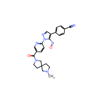 CN1CCC2(CCN(C(=O)c3ccc(-n4ncc(-c5ccc(C#N)cc5)c4N=O)nc3)C2)C1